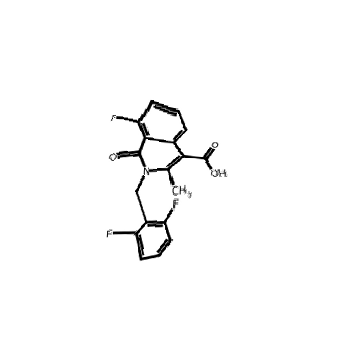 Cc1c(C(=O)O)c2cccc(F)c2c(=O)n1Cc1c(F)cccc1F